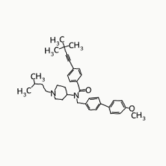 COc1ccc(-c2ccc(CN(C(=O)c3ccc(C#CC(C)(C)C)cc3)C3CCN(CCC(C)C)CC3)cc2)cc1